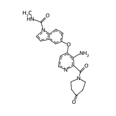 CNC(=O)n1ccc2cc(Oc3ccnc(C(=O)N4CCC(=O)CC4)c3N)ccc21